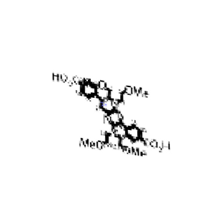 COCCN(CCOC)c1nc(-c2ccc(C(=O)O)cc2)c(N(CCOC)CCOC)nc1/C=C/c1ccc(C(=O)O)cc1